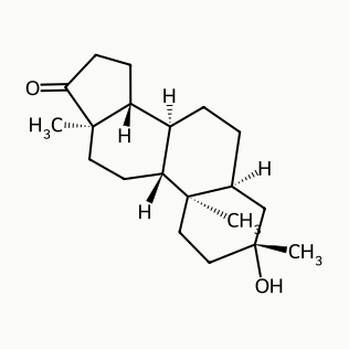 C[C@@]1(O)CC[C@]2(C)[C@@H](CC[C@H]3[C@H]2CC[C@@]2(C)C(=O)CC[C@H]32)C1